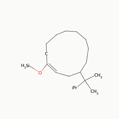 CC(C)C(C)(C)C1CC=C(O[SiH3])CCCCCCCC1